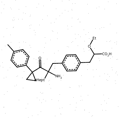 CCCCCCCC(N)(Cc1ccc(CC(OCC)C(=O)O)cc1)C(=O)C1(c2ccc(C)cc2)CC1